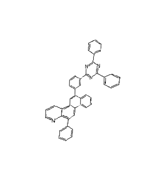 c1ccc(-c2nc(-c3ccccc3)nc(-c3cccc(-c4cc5c6cccnc6c(-c6ccccc6)cc5c5ccccc45)c3)n2)cc1